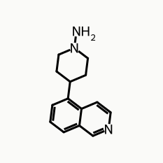 NN1CCC(c2cccc3cnccc23)CC1